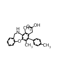 Cc1ccc(-c2c(C)c3c(c(C)c2CC(=O)O)NCc2ccccc2O3)cc1